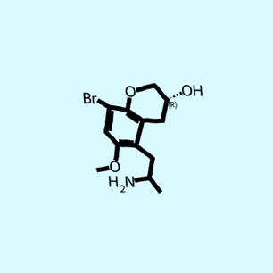 COc1cc(Br)c2c(c1CC(C)N)C[C@@H](O)CO2